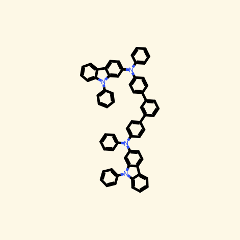 c1ccc(N(c2ccc(-c3cccc(-c4ccc(N(c5ccccc5)c5ccc6c7ccccc7n(-c7ccccc7)c6c5)cc4)c3)cc2)c2ccc3c4ccccc4n(-c4ccccc4)c3c2)cc1